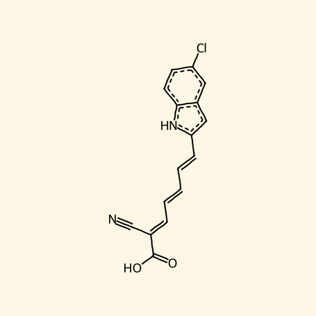 N#C\C(=C/C=C/C=C/c1cc2cc(Cl)ccc2[nH]1)C(=O)O